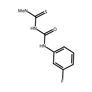 CNC(=S)NC(=O)Nc1cccc(F)c1